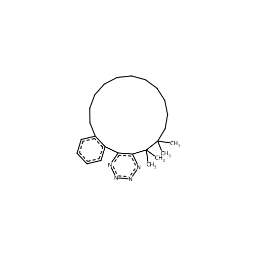 CC1(C)CCCCCCCCCCCc2ccccc2-c2nnnnc2C1(C)C